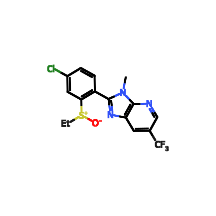 CC[S+]([O-])c1cc(Cl)ccc1-c1nc2cc(C(F)(F)F)cnc2n1C